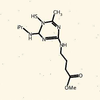 COC(=O)CCCNC1=NC(NC(C)C)N(S)C(C)=N1